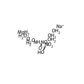 N.O.O.O.O.O.O.O=[N+]([O-])O.O=[N+]([O-])[O-].[MgH2].[Na+]